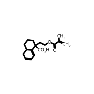 C=C(C)C(=O)OCCC1(C(=O)O)CCCC2CC=CC=C21